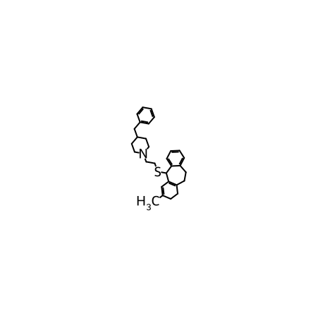 CC1=CC2=C(CC1)CCc1ccccc1C2SCCN1CCC(Cc2ccccc2)CC1